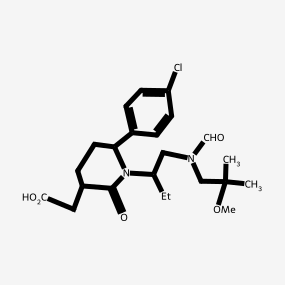 CCC(CN(C=O)CC(C)(C)OC)N1C(=O)C(CC(=O)O)CCC1c1ccc(Cl)cc1